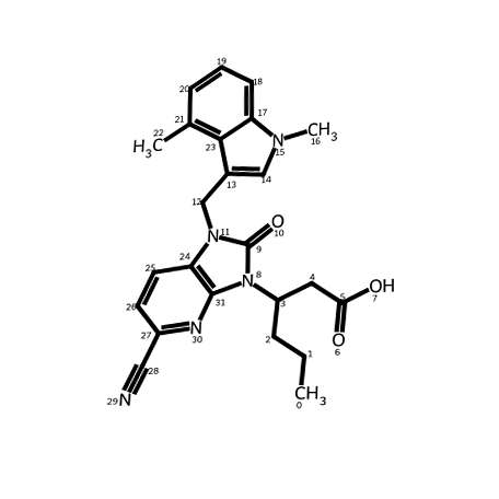 CCCC(CC(=O)O)n1c(=O)n(Cc2cn(C)c3cccc(C)c23)c2ccc(C#N)nc21